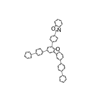 c1ccc(-c2ccc(-c3ccc4oc5c(-c6ccc(-c7nc8ccccc8o7)cc6)cc(-c6ccc(-c7ccccc7)cc6)cc5c4c3)cc2)cc1